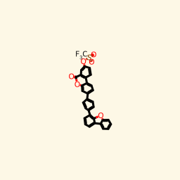 O=c1oc2cc(-c3ccc(-c4cccc5c4oc4ccccc45)cc3)ccc2c2ccc(OS(=O)(=O)C(F)(F)F)cc12